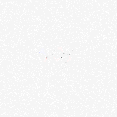 B[C@@H]1O[C@H](CC)[C@H](O)C1OC(C)C(=O)NC